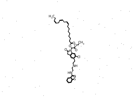 CC/C=C\C/C=C\C/C=C\CCCCCCCC(=O)OC(C(=O)OCC)N1C(=O)Cc2cc(CCNCCNc3nsc4ccccc34)c(Cl)cc21